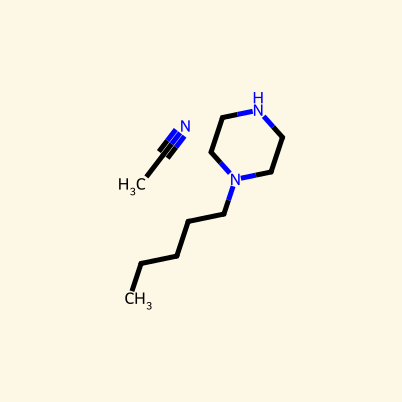 CC#N.CCCCCN1CCNCC1